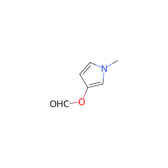 Cn1ccc(OC=O)c1